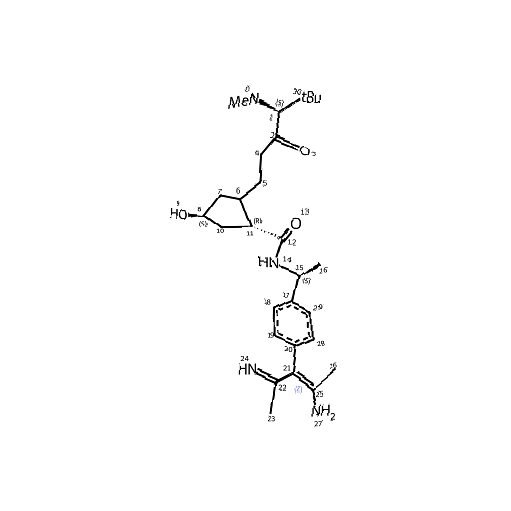 CN[C@H](C(=O)CCC1C[C@H](O)C[C@H]1C(=O)N[C@@H](C)c1ccc(/C(C(C)=N)=C(\C)N)cc1)C(C)(C)C